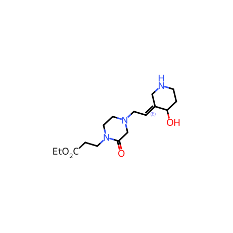 CCOC(=O)CCN1CCN(C/C=C2\CNCCC2O)CC1=O